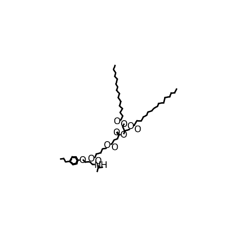 CCCCCCCCCCCCCCCC(=O)OCC(COC(=O)CCCCCCCCCCCCCCC)OC(=O)CCC(=O)OCCCCC(=O)OC(CNC(C)C)COc1ccc(CCC)cc1